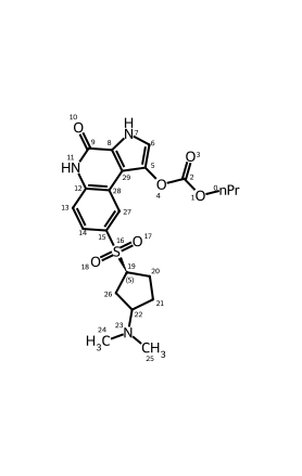 CCCOC(=O)Oc1c[nH]c2c(=O)[nH]c3ccc(S(=O)(=O)[C@H]4CCC(N(C)C)C4)cc3c12